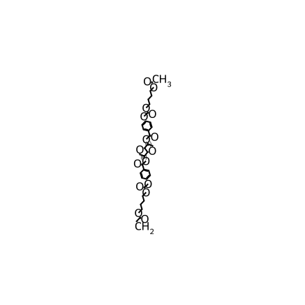 C=CC(=O)OCCCCOC(=O)Oc1ccc(C(=O)O[C@@H]2COC3C2OC[C@@H]3OC(=O)c2ccc(OC(=O)OCCCCOC(C)=O)cc2)cc1